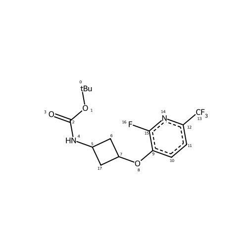 CC(C)(C)OC(=O)NC1CC(Oc2ccc(C(F)(F)F)nc2F)C1